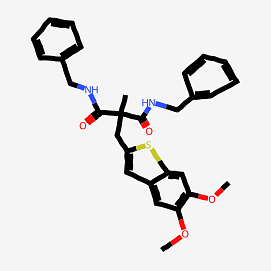 COc1cc2cc(CC(C)(C(=O)NCc3ccccc3)C(=O)NCc3ccccc3)sc2cc1OC